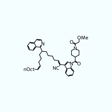 CCCCCCCC/C=C\CCCC(CCCC/C=C(\C#N)c1cn(C(=O)C2CCN(C(=O)COC)CC2)c2ccccc12)c1nccc2ccccc12